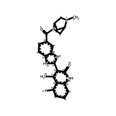 CN1CC2CC1CN2C(=O)c1ccc2[nH]c(-c3c(N)c4c(F)cccc4[nH]c3=O)nc2c1